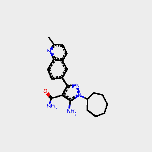 Cc1ccc2cc(-c3nn(C4CCCCCC4)c(N)c3C(N)=O)ccc2n1